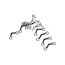 CCCCCC.CCCCCC.CCOC(C)=O.ClCCl.ClCCl.ClCCl.ClCCl.ClCCl.ClCCl